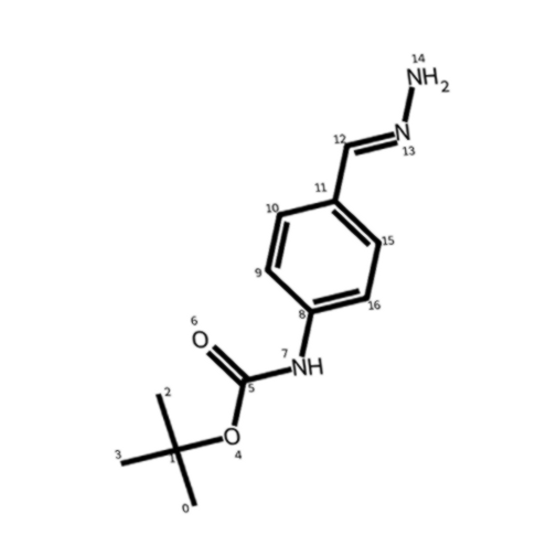 CC(C)(C)OC(=O)Nc1ccc(C=NN)cc1